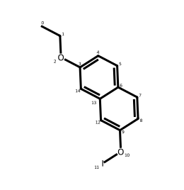 CCOc1ccc2ccc(OI)cc2c1